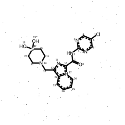 O=C(Nc1ncc(Cl)cn1)c1nc(CN2CCS(O)(O)CC2)c2ccccn12